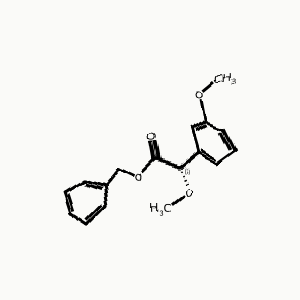 COc1cccc([C@H](OC)C(=O)OCc2ccccc2)c1